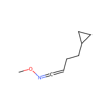 CON=C=CCCC1[CH]C1